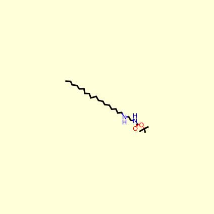 CCCCCCCCCCCCCCCCCCNCCNC(=O)OC(C)(C)C